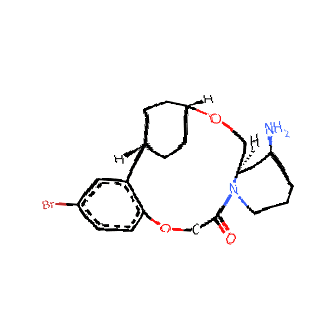 N[C@H]1CCCN2C(=O)COc3ccc(Br)cc3[C@H]3CC[C@H](CC3)OC[C@@H]12